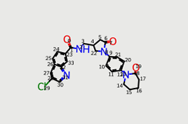 O=C(NCC1CC(=O)N(c2ccc(N3CCCCC3=O)cc2)C1)c1ccc2cc(Cl)cnc2c1